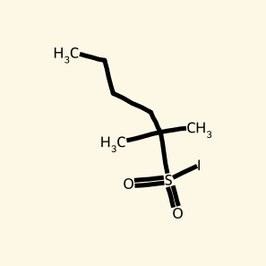 CCCCC(C)(C)S(=O)(=O)I